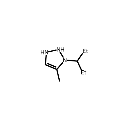 CCC(CC)N1NNC=C1C